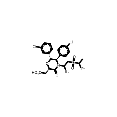 CCC(CS(=O)(=O)C(C)C(C)C)N1C(=O)[C@@H](CC(=O)O)O[C@H](c2cccc(Cl)c2)[C@H]1c1ccc(Cl)cc1